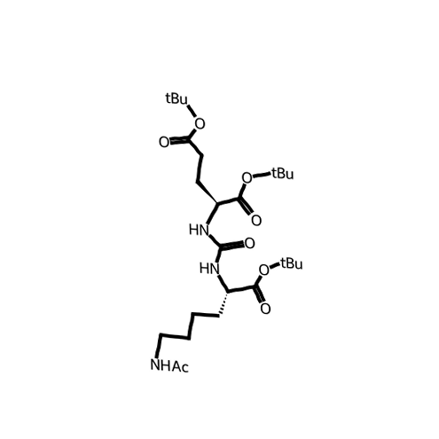 CC(=O)NCCCC[C@H](NC(=O)N[C@@H](CCC(=O)OC(C)(C)C)C(=O)OC(C)(C)C)C(=O)OC(C)(C)C